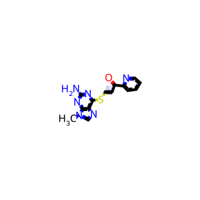 Cn1cnc2c(S/C=C/C(=O)c3ccccn3)nc(N)nc21